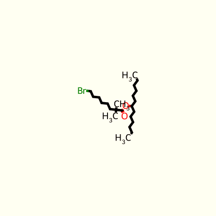 CCCCCCC(CCCCCC)OC(=O)C(C)(C)CCCCCCBr